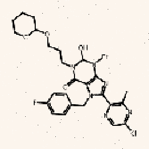 CCN1c2nc(-c3ncc(Cl)nc3C)n(Cc3ccc(F)cc3)c2C(=O)N(CCCOC2CCCCO2)C1O